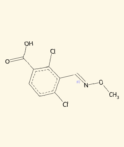 CO/N=C/c1c(Cl)ccc(C(=O)O)c1Cl